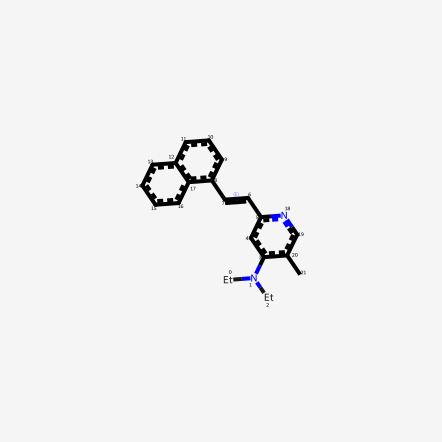 CCN(CC)c1cc(/C=C/c2cccc3ccccc23)ncc1C